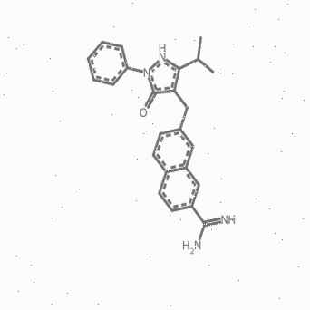 CC(C)c1[nH]n(-c2ccccc2)c(=O)c1Cc1ccc2ccc(C(=N)N)cc2c1